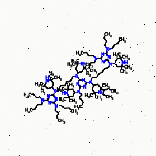 CCCCN(CCCC)c1nc(N(CCCC)CCCC)nc(N(CCCCCCN(c2nc(N(CCCC)C3CC(C)(C)NC(C)(C)C3)nc(N(CCCCCCN(c3nc(N(CCCC)CCCC)nc(N(CCCC)CCCC)n3)C3CC(C)(C)NC(C)(C)C3)C3CC(C)(C)NC(C)(C(CC)CC)C3)n2)C2CC(C)(C)NC(C)(C)C2)C2CC(C)(C)NC(C)(C)C2)n1